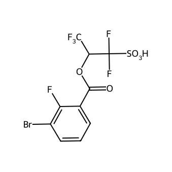 O=C(OC(C(F)(F)F)C(F)(F)S(=O)(=O)O)c1cccc(Br)c1F